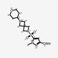 COc1cc(S(=O)(=O)N2CC3(CN(C4CCOCC4)C3)C2)n(C)n1